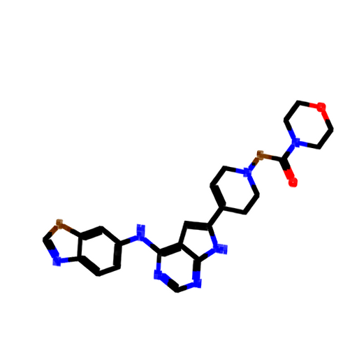 O=C(SN1CC=C(c2cc3c(Nc4ccc5ncsc5c4)ncnc3[nH]2)CC1)N1CCOCC1